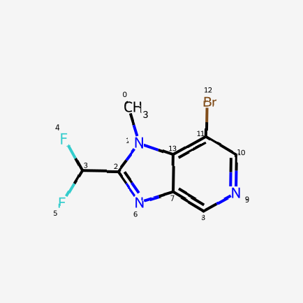 Cn1c(C(F)F)nc2cncc(Br)c21